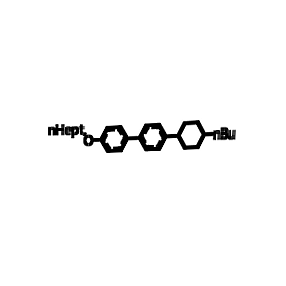 CCCCCCCOc1ccc(-c2ccc(C3CCC(CCCC)CC3)cc2)cc1